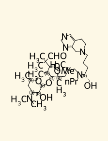 CCCN(C[C@H](C)C[C@@](C)(OC)[C@H](O[C@@H]1O[C@H](C)C[C@H](N(C)C)[C@H]1O)[C@@H](C)C(=O)C(C)(C)C=O)[C@@H](CO)CCCN1CCc2cncnc2C1